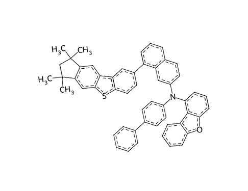 CC1(C)CC(C)(C)c2cc3c(cc21)sc1ccc(-c2cccc4ccc(N(c5ccc(-c6ccccc6)cc5)c5cccc6oc7ccccc7c56)cc24)cc13